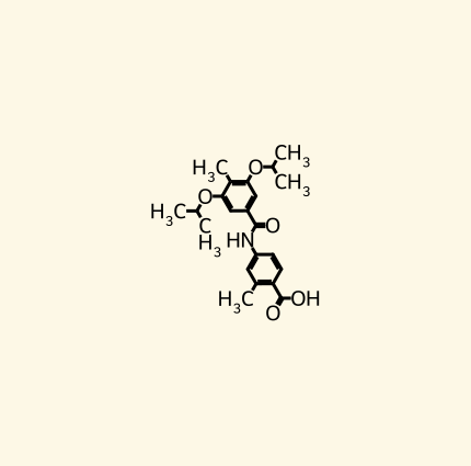 Cc1cc(NC(=O)c2cc(OC(C)C)c(C)c(OC(C)C)c2)ccc1C(=O)O